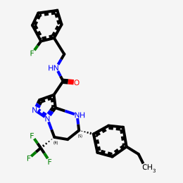 CCc1ccc([C@@H]2C[C@H](C(F)(F)F)n3ncc(C(=O)NCc4ccccc4F)c3N2)cc1